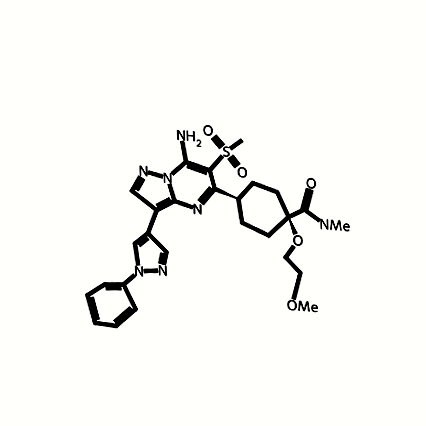 CNC(=O)[C@]1(OCCOC)CC[C@@H](c2nc3c(-c4cnn(-c5ccccc5)c4)cnn3c(N)c2S(C)(=O)=O)CC1